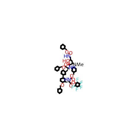 CN[C@@H](C[C@@H](O)CNC(=O)OCc1ccccc1)C(=O)N[C@@H](Cc1cccc(-c2ccc(OCc3ccccc3)c(C[C@H](NC(=O)OCc3ccccc3)C(=O)Oc3c(F)c(F)c(F)c(F)c3F)c2)c1)C(=O)OCc1ccccc1